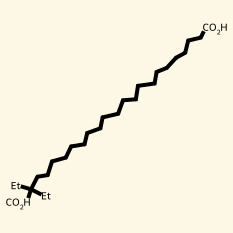 CCC(CC)(CCCCCCCCCCCCCCCCCCCCC(=O)O)C(=O)O